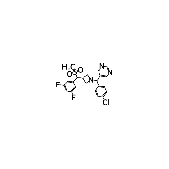 CS(=O)(=O)C(c1cc(F)cc(F)c1)C1CN(C(c2ccc(Cl)cc2)c2cncnc2)C1